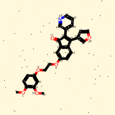 COc1ccc(OCCOc2ccc3c(c2)C(=O)C(c2cccnc2)=C3c2ccoc2)cc1OC